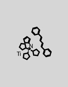 C(C=Cc1ccccc1)=Cc1ccccc1.C1=CCC(N=P(C2CCCC2)(C2CCCC2)C2CCCC2)=C1.[Ti]